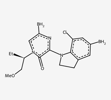 Bc1cc(Cl)c2c(c1)CCN2c1nc(B)cn([C@H](CC)COC)c1=O